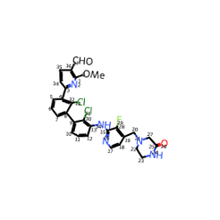 COc1nc(-c2cccc(-c3cccc(Nc4nccc(CN5CCNC(=O)C5)c4F)c3Cl)c2Cl)ccc1C=O